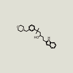 CC(C)(CC(O)CCc1cc2ccccc2[nH]1)c1cccc(CN2CCOCC2)c1